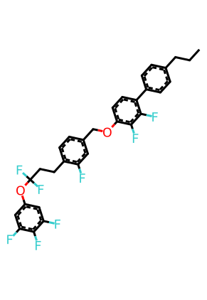 CCCc1ccc(-c2ccc(OCc3ccc(CCC(F)(F)Oc4cc(F)c(F)c(F)c4)c(F)c3)c(F)c2F)cc1